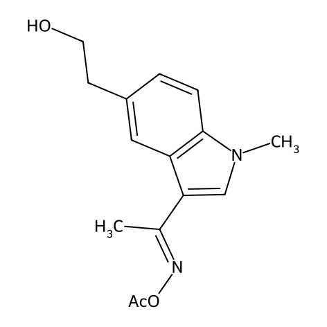 CC(=O)O/N=C(\C)c1cn(C)c2ccc(CCO)cc12